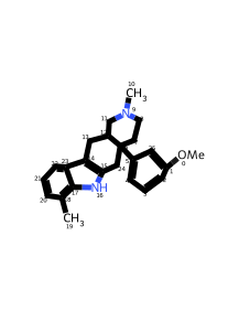 COc1cccc(C23CCN(C)CC2Cc2c([nH]c4c(C)cccc24)C3)c1